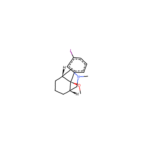 CO[C@]1(c2cccc(I)c2)[C@@H]2CCC[C@H]1CN(C)C2